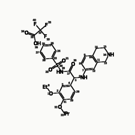 CCOc1cc(C(Nc2ccc3c(c2)CNCC3)C(=O)NS(=O)(=O)c2ccccc2)ccc1OC(C)C.O=C(O)C(F)(F)F